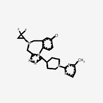 Cc1ccnc(N2CCC(c3nnc4n3-c3ccc(Cl)cc3CN(C3CC3(F)F)C4)CC2)n1